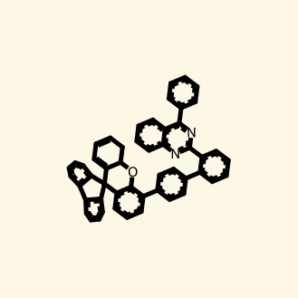 C1=CCC2Oc3c(-c4ccc(-c5ccccc5-c5nc(-c6ccccc6)c6ccccc6n5)cc4)cccc3C3(C2=C1)c1ccccc1-c1ccccc13